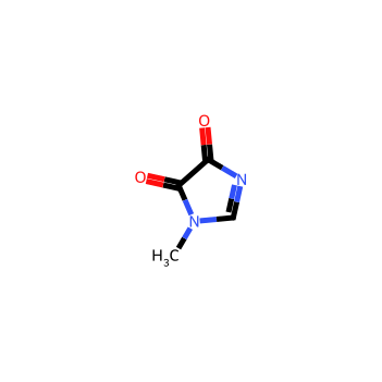 CN1C=NC(=O)C1=O